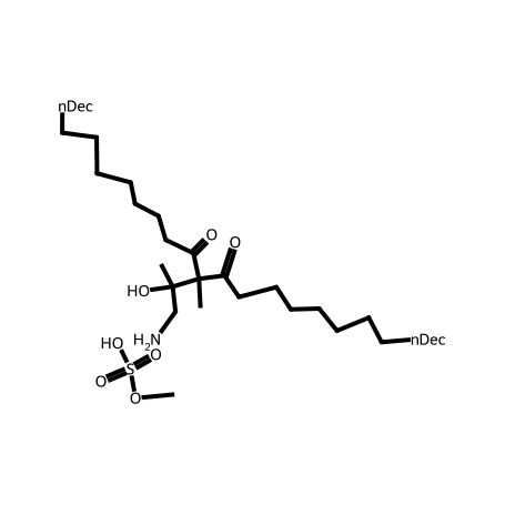 CCCCCCCCCCCCCCCCCC(=O)C(C)(C(=O)CCCCCCCCCCCCCCCCC)C(C)(O)CN.COS(=O)(=O)O